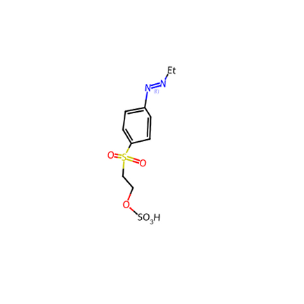 CC/N=N/c1ccc(S(=O)(=O)CCOS(=O)(=O)O)cc1